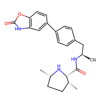 C[C@@H]1CC[C@H](C)N[C@@H]1C(=O)N[C@H](C#N)Cc1ccc(-c2ccc3oc(=O)[nH]c3c2)cc1